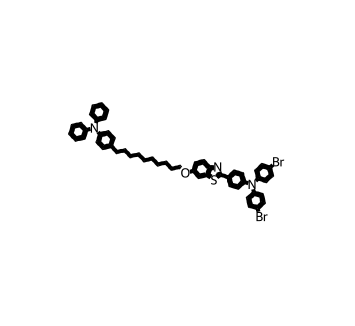 Brc1ccc(N(c2ccc(Br)cc2)c2ccc(-c3nc4ccc(OCCCCCCCCCCc5ccc(N(c6ccccc6)c6ccccc6)cc5)cc4s3)cc2)cc1